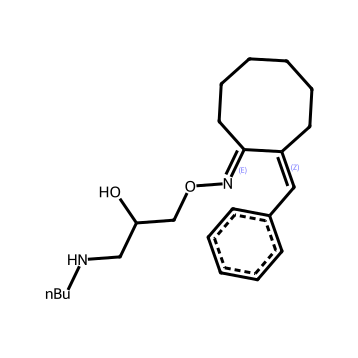 CCCCNCC(O)CO/N=C1\CCCCCC\C1=C\c1ccccc1